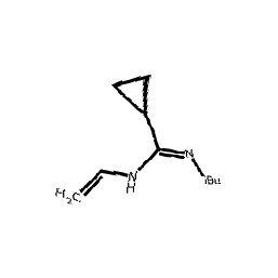 C=CN/C(=N\C(C)CC)C1CC1